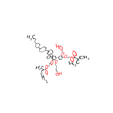 C=C(C)C(=O)OCCOc1ccc(-c2cc(-c3ccc(C4CCC(C5CCC(CCC)CC5)CC4)cc3C)cc(OCCOC(=O)C(=C)C)c2OCCCCO)cc1OCCO